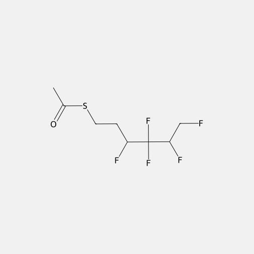 CC(=O)SCCC(F)C(F)(F)C(F)CF